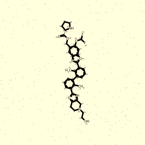 Cc1c(-c2nc3c(o2)CCN(CCO)C3)cccc1-c1cccc(-c2nc3cc(COC(=O)[C@@H]4CCCN4)c(OC(F)F)cc3o2)c1C